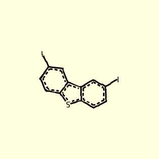 Ic1ccc2sc3ccc(I)cc3c2c1